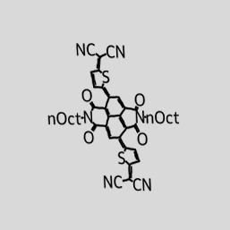 CCCCCCCCN1C(=O)c2c/c(=c3/ccc(=C(C#N)C#N)s3)c3c4c(c/c(=c5/ccc(=C(C#N)C#N)s5)c(c24)C1=O)C(=O)N(CCCCCCCC)C3=O